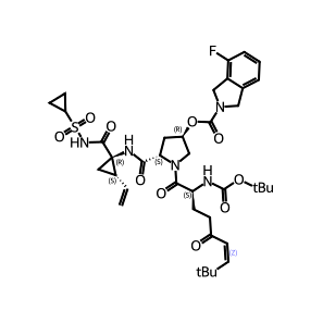 C=C[C@@H]1C[C@]1(NC(=O)[C@@H]1C[C@@H](OC(=O)N2Cc3cccc(F)c3C2)CN1C(=O)[C@H](CCC(=O)/C=C\C(C)(C)C)NC(=O)OC(C)(C)C)C(=O)NS(=O)(=O)C1CC1